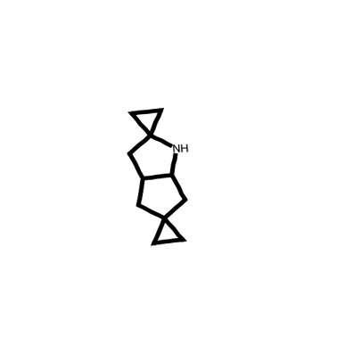 C1CC12CC1CC3(CC3)NC1C2